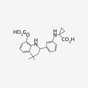 CC1(C)CC(c2cccc(NC3(C(=O)O)CC3)c2)Nc2c(OC(=O)O)cccc21